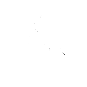 O=C1c2ccccc2C(=O)N1C1CC=C[C@@H](c2ccccc2)N(Cc2ccccc2)C1=O